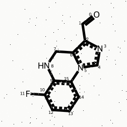 O=Cc1ncn2c1CNc1c(F)cccc1-2